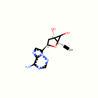 C#C[C@]12O[C@@H](c3cnc4c(N)ncnn34)C[C@@]1(O)C2O